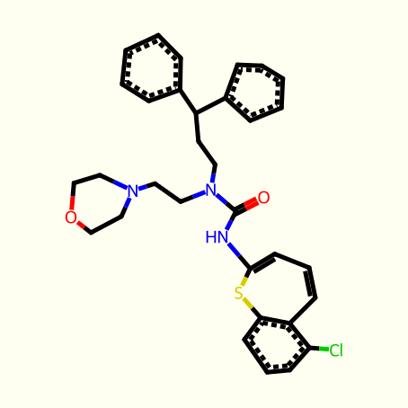 O=C(NC1=CC=Cc2c(Cl)cccc2S1)N(CCC(c1ccccc1)c1ccccc1)CCN1CCOCC1